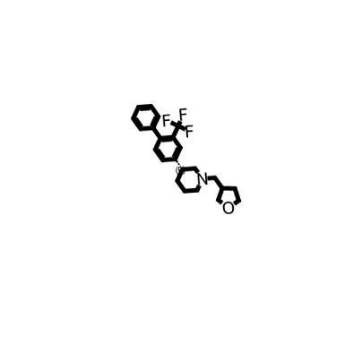 FC(F)(F)c1cc([C@H]2CCCN(CC3CCOC3)C2)ccc1-c1ccccc1